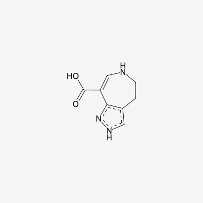 O=C(O)C1=CNCCc2c[nH]nc21